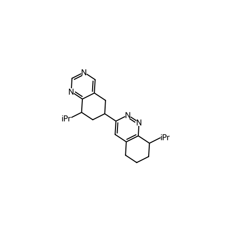 CC(C)C1CC(c2cc3c(nn2)C(C(C)C)CCC3)Cc2cncnc21